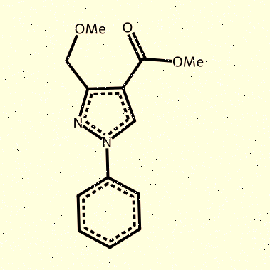 COCc1nn(-c2ccccc2)cc1C(=O)OC